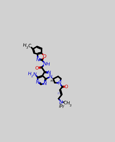 Cc1ccc2oc(NC(=O)c3nn([C@@H]4CCN(C(=O)/C=C/CN(C)C(C)C)C4)c4ncnc(N)c34)nc2c1